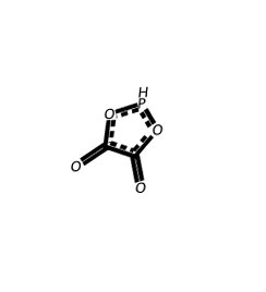 O=c1o[pH]oc1=O